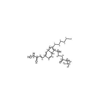 CCCCCCc1nc2cc(C=CC(=O)NO)ccn2c1NCCC(=O)NC(C)(C)C